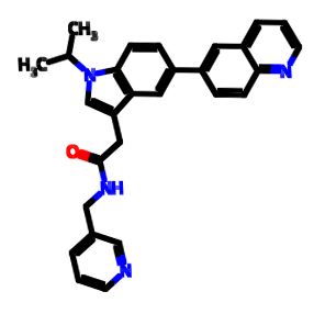 CC(C)n1cc(CC(=O)NCc2cccnc2)c2cc(-c3ccc4ncccc4c3)ccc21